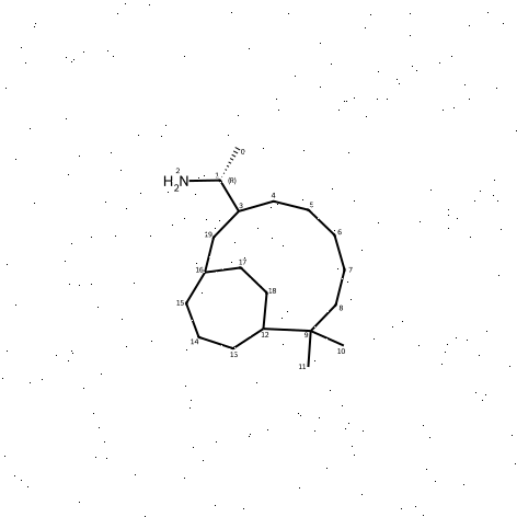 C[C@@H](N)C1CCCCCC(C)(C)C2CCCC(CC2)C1